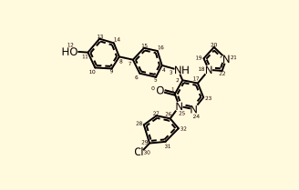 O=c1c(Nc2ccc(-c3ccc(O)cc3)cc2)c(-n2ccnc2)cnn1-c1ccc(Cl)cc1